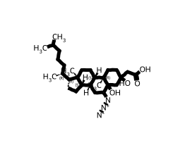 CC(C)CCC[C@@H](C)[C@H]1CC[C@H]2[C@@H]3CC(N=[N+]=[N-])C4(O)CC(O)(CC(=O)O)CC[C@]4(C)[C@H]3CC[C@]12C